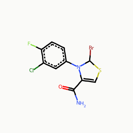 NC(=O)C1=CSC(Br)N1c1ccc(F)c(Cl)c1